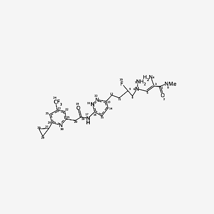 CNC(=O)/C(N)=C/N(N)CC(F)CCc1ccc(NC(=O)Cc2cc(C(F)(F)F)cc(C3CC3)n2)nn1